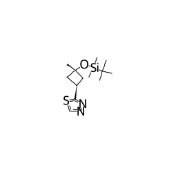 CC(C)(C)[Si](C)(C)O[C@]1(C)C[C@@H](c2nncs2)C1